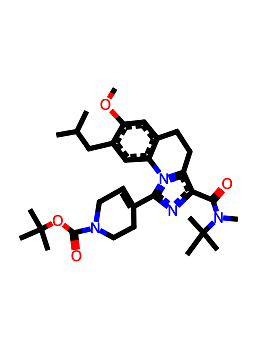 COc1cc2c(cc1CC(C)C)-n1c(C3=CCN(C(=O)OC(C)(C)C)CC3)nc(C(=O)N(C)C(C)(C)C)c1CC2